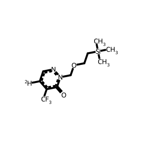 [2H]c1cnn(COCC[Si](C)(C)C)c(=O)c1C(F)(F)F